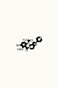 COc1c(C#N)ccc(OC(C)C(F)(F)F)c1C(=O)N1CCc2nn(-c3ccncc3)cc2C1